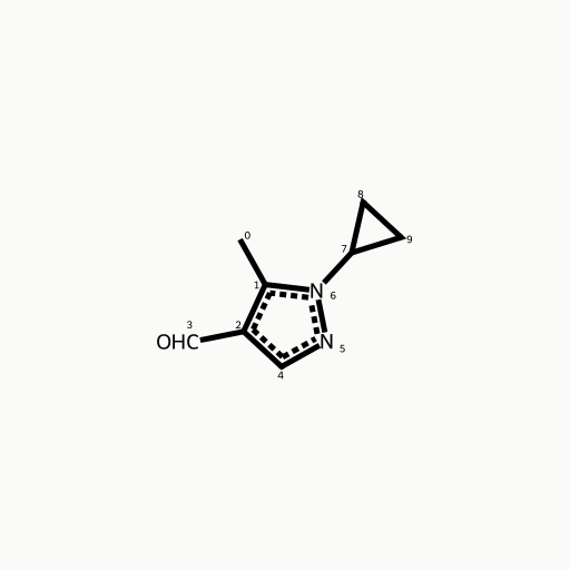 Cc1c(C=O)cnn1C1CC1